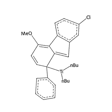 CCC[CH2][Ti]([CH2]CCC)[C]1(c2ccccc2)C=CC(OC)=C2C1=Cc1cc(Cl)ccc12